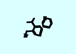 CC(C)c1ccccc1[CH2][Zr].c1ccncc1